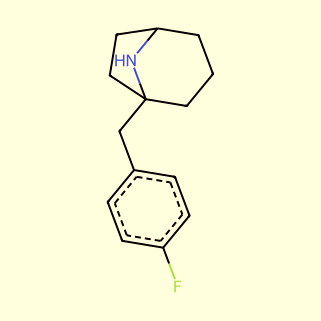 Fc1ccc(CC23CCCC(CC2)N3)cc1